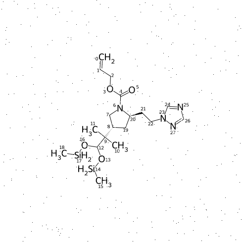 C=CCOC(=O)N1C[C@@H](C(C)(C)C(O[SiH2]C)O[SiH2]C)C[C@@H]1CCn1cncn1